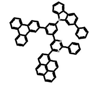 c1ccc(-c2ccc3c4ccccc4n(-c4cc(-c5ccc6c7ccccc7c7ccccc7c6c5)cc(-c5cc(-c6ccc7ccc8cccc9ccc6c7c89)nc(-c6ccccc6)n5)c4)c3c2)cc1